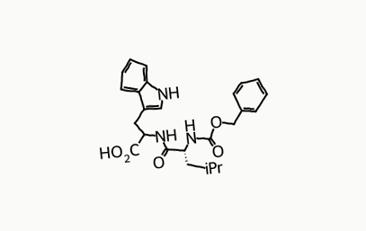 CC(C)C[C@@H](NC(=O)OCc1ccccc1)C(=O)NC(Cc1c[nH]c2ccccc12)C(=O)O